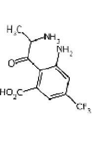 CC(N)C(=O)c1c(N)cc(C(F)(F)F)cc1C(=O)O